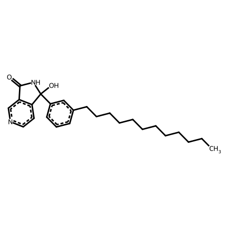 CCCCCCCCCCCCc1cccc(C2(O)NC(=O)c3cnccc32)c1